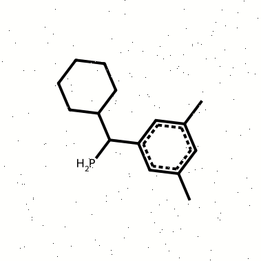 Cc1cc(C)cc(C(P)[C]2CCCCC2)c1